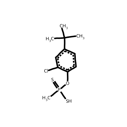 CC(C)(C)c1ccc(OP(C)(=S)S)c(Cl)c1